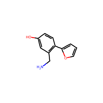 NCc1cc(O)ccc1-c1ccco1